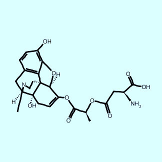 C[C@H](OC(=O)C[C@H](N)C(=O)O)C(=O)OC1=CC[C@@]2(O)[C@H]3Cc4ccc(O)c5c4[C@@]2(CCN3C)[C@H]1O5